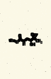 CC(C)(C)OC(=O)NC[C@@H](O)C1(C)CO1